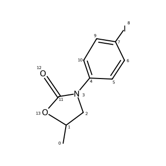 CC1CN(c2ccc(I)cc2)C(=O)O1